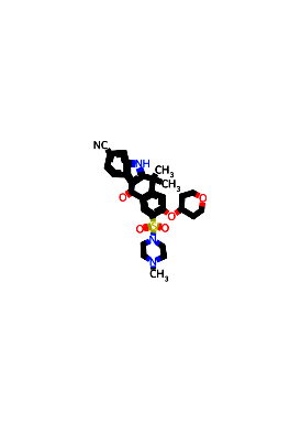 CN1CCN(S(=O)(=O)c2cc3c(cc2OC2CCOCC2)C(C)(C)c2[nH]c4cc(C#N)ccc4c2C3=O)CC1